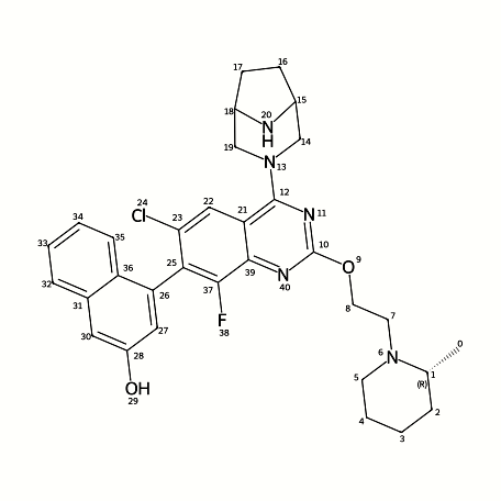 C[C@@H]1CCCCN1CCOc1nc(N2CC3CCC(C2)N3)c2cc(Cl)c(-c3cc(O)cc4ccccc34)c(F)c2n1